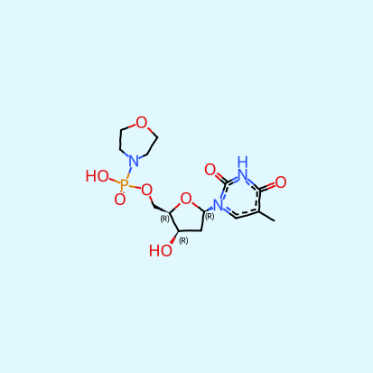 Cc1cn([C@H]2C[C@@H](O)[C@@H](COP(=O)(O)N3CCOCC3)O2)c(=O)[nH]c1=O